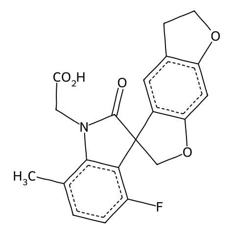 Cc1ccc(F)c2c1N(CC(=O)O)C(=O)C21COc2cc3c(cc21)CCO3